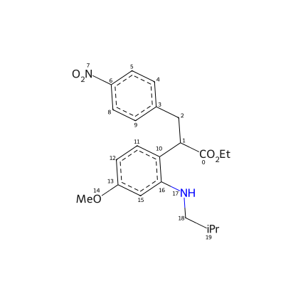 CCOC(=O)C(Cc1ccc([N+](=O)[O-])cc1)c1ccc(OC)cc1NCC(C)C